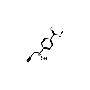 C#CC[C@@H](O)c1ccc(C(=O)OC)cc1